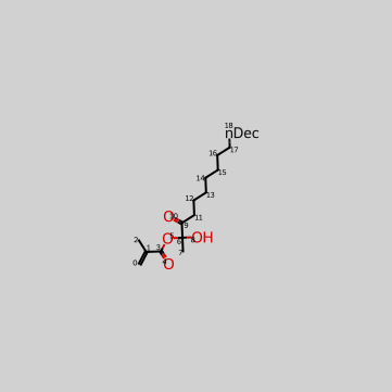 C=C(C)C(=O)OC(C)(O)C(=O)CCCCCCCCCCCCCCCCC